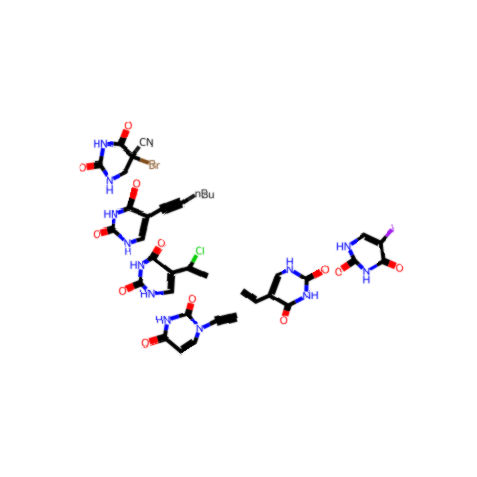 C#Cn1ccc(=O)[nH]c1=O.C=C(Cl)c1c[nH]c(=O)[nH]c1=O.C=Cc1c[nH]c(=O)[nH]c1=O.CCCCC#Cc1c[nH]c(=O)[nH]c1=O.N#CC1(Br)CNC(=O)NC1=O.O=c1[nH]cc(I)c(=O)[nH]1